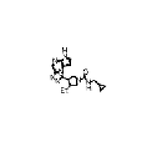 CCC1CN(C(=O)NCC2CC2)CC1c1nnc2cnc3[nH]ccc3n12